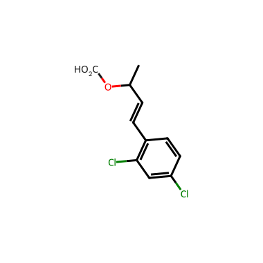 CC(C=Cc1ccc(Cl)cc1Cl)OC(=O)O